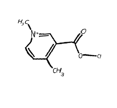 Cc1cc[n+](C)cc1C(=O)OCl